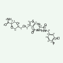 NC(=O)C1COC(COCc2csc3nc(C(=O)NCc4ccc(F)c(Cl)c4)[nH]c(=O)c23)CO1